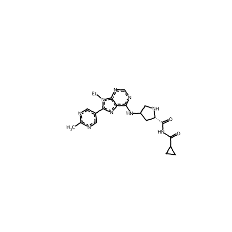 CCn1c(-c2cnc(C)nc2)nc2c(NC3CN[C@H](C(=O)NC(=O)C4CC4)C3)ncnc21